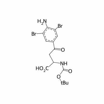 CC(C)(C)OC(=O)NC(CC(=O)c1cc(Br)c(N)c(Br)c1)C(=O)O